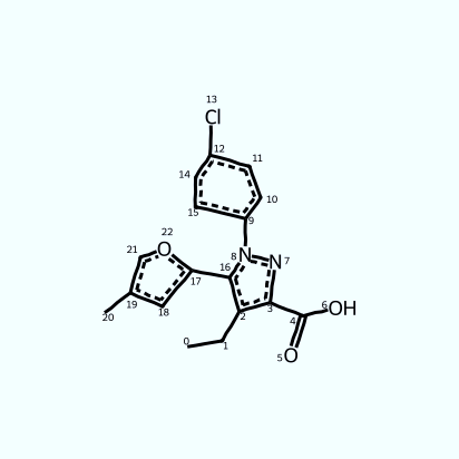 CCc1c(C(=O)O)nn(-c2ccc(Cl)cc2)c1-c1cc(C)co1